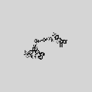 C=C(F)C(=O)N1CCN(c2nc(OC[C@@H]3CCCN3CCCOCCOCCOc3c(Br)cc(C=C4C(=O)Nc5ccc(I)cc54)cc3Br)nc3c2CCN(c2cccc4cccc(Cl)c24)C3)C[C@@H]1CC#N